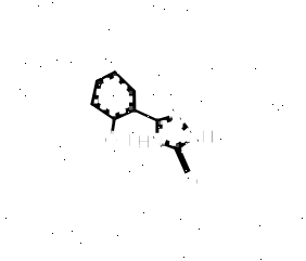 O=c1[nH]nc(-c2ccccc2O)[nH]1